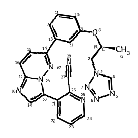 C[C@@H](Cn1cnnn1)Oc1cccc(-c2ccc3ncc(-c4cccnc4C#N)n3n2)c1